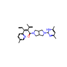 C=C/C(=C(\C(=C)C)C(=O)N1CC2CN(C3N=C(C)C=C(C)N3)CC2C1)c1ccc(C)cn1